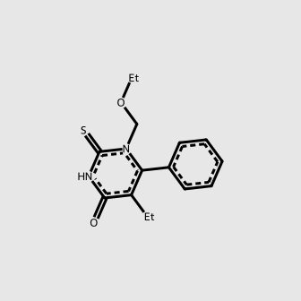 CCOCn1c(-c2ccccc2)c(CC)c(=O)[nH]c1=S